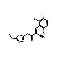 CCc1nnc(NC(=O)/C(C#N)=C/c2c(Cl)ccc(C)c2F)s1